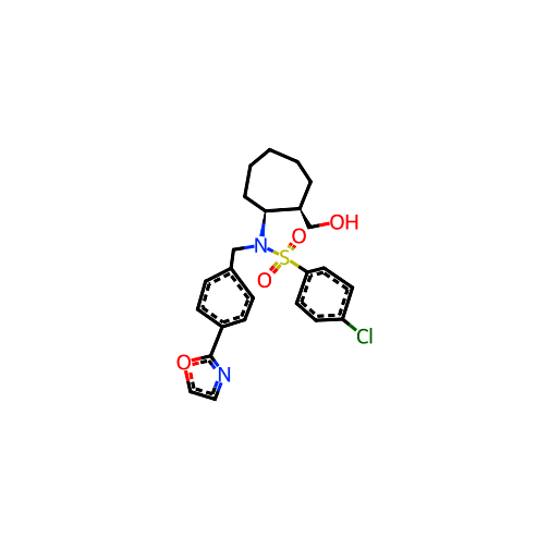 O=S(=O)(c1ccc(Cl)cc1)N(Cc1ccc(-c2ncco2)cc1)[C@H]1CCCCC[C@H]1CO